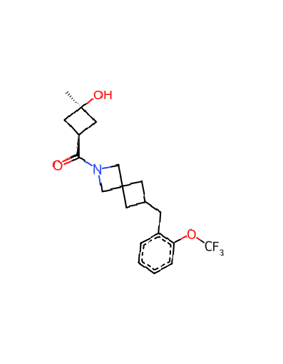 C[C@]1(O)C[C@@H](C(=O)N2CC3(CC(Cc4ccccc4OC(F)(F)F)C3)C2)C1